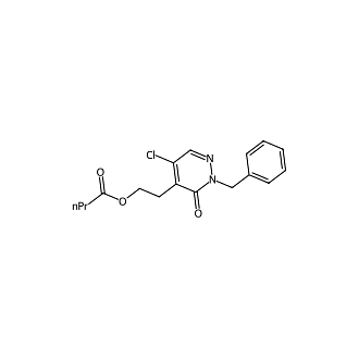 CCCC(=O)OCCc1c(Cl)cnn(Cc2ccccc2)c1=O